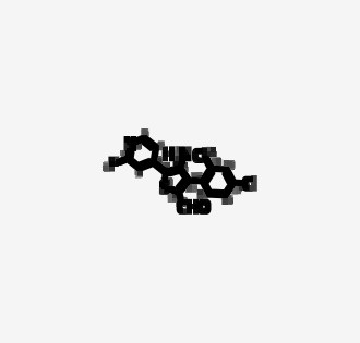 Nc1c(-c2ccnc(F)c2)sc(C=O)c1-c1ccc(Cl)cc1Cl